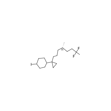 C[C@@H](CCCC1(C2CCC(I)CC2)CC1)CCC(C)(F)F